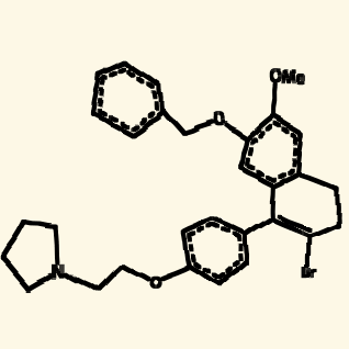 COc1cc2c(cc1OCc1ccccc1)C(c1ccc(OCCN3CCCC3)cc1)=C(Br)CC2